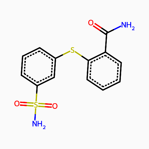 NC(=O)c1ccccc1Sc1cccc(S(N)(=O)=O)c1